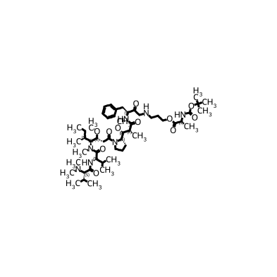 CC[C@H](C)[C@@H]([C@@H](CC(=O)N1CCC[C@H]1[C@H](OC)[C@@H](C)C(=O)N[C@@H](Cc1ccccc1)C(=O)CNCCCOC(=O)[C@H](C)NC(=O)OC(C)(C)C)OC)N(C)C(=O)[C@@H](NC(=O)[C@H](C(C)C)N(C)C)C(C)C